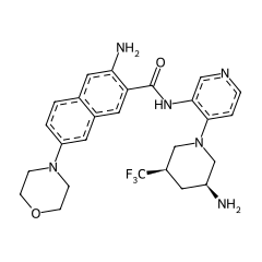 Nc1cc2ccc(N3CCOCC3)cc2cc1C(=O)Nc1cnccc1N1C[C@@H](N)C[C@@H](C(F)(F)F)C1